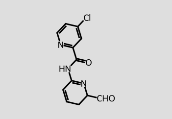 O=CC1CC=CC(NC(=O)c2cc(Cl)ccn2)=N1